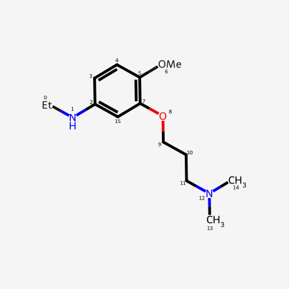 CCNc1ccc(OC)c(OCCCN(C)C)c1